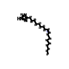 CCCCCCCC/C=C\CCCCCCCCc1nc[nH]n1